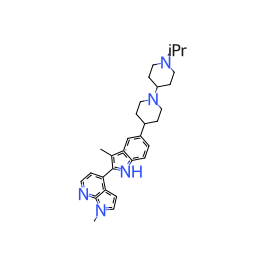 Cc1c(-c2ccnc3c2ccn3C)[nH]c2ccc(C3CCN(C4CCN(C(C)C)CC4)CC3)cc12